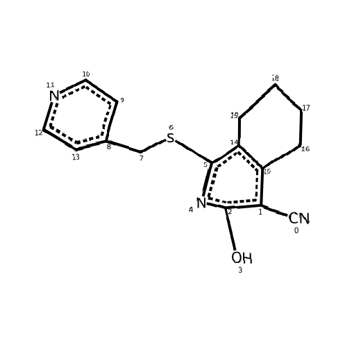 N#Cc1c(O)nc(SCc2ccncc2)c2c1CCCC2